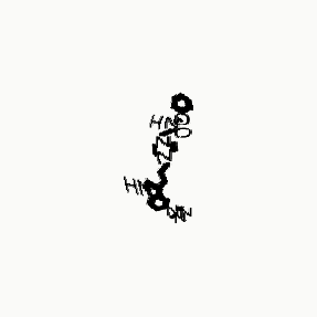 O=C(CN1CCN(CCCc2c[nH]c3ccc(-n4cnnc4)cc23)CC1)NOc1ccccc1